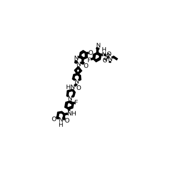 CCN(C)S(=O)(=O)Nc1ccc(F)c(Oc2ccc3ncn(C4CC5(CCN(C(=O)NC6CCN(c7ccc(NC8CCC(=O)NC8=O)cc7F)CC6)CC5)C4)c(=O)c3c2)c1C#N